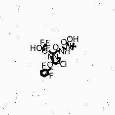 Cc1nc2c(OCc3c(F)cccc3F)cc(Cl)cn2c1C(=O)NCCN(C(=O)O)C(C)(C)C.O=C(O)C(F)(F)F